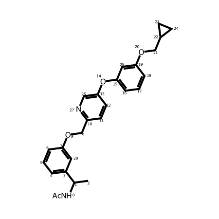 CC(=O)NC(C)c1cccc(OCc2ccc(Oc3cccc(OCC4CC4)c3)cn2)c1